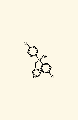 O[Si](Cn1cncn1)(c1ccc(Cl)cc1)c1ccc(Cl)cc1